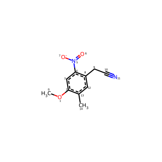 COc1cc([N+](=O)[O-])c(CC#N)cc1C